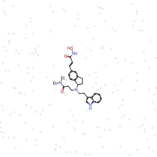 CCN(CC)C(=O)CCN(CCc1c[nH]c2ccccc12)C1CCc2cc(C=CC(=O)NO)ccc21